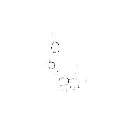 Cc1nc(NCc2cnn(Cc3cncc(F)c3)c2)nc2c1NC(=O)[C@H](C(C)C)N2C